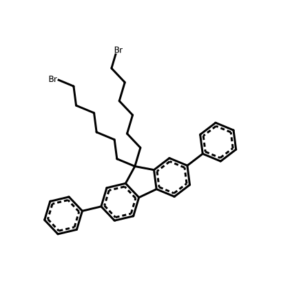 BrCCCCCCC1(CCCCCCBr)c2cc(-c3ccccc3)ccc2-c2ccc(-c3ccccc3)cc21